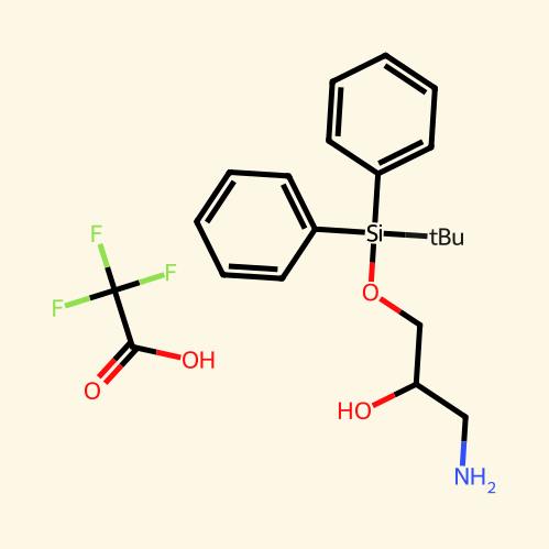 CC(C)(C)[Si](OCC(O)CN)(c1ccccc1)c1ccccc1.O=C(O)C(F)(F)F